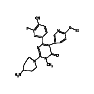 CCOc1ccc(-c2c(-c3ccc(C#N)c(F)c3)nc(N3CCC(N)CC3)n(C)c2=O)cn1